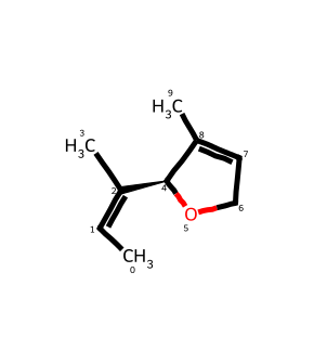 C/C=C(/C)[C@@H]1OCC=C1C